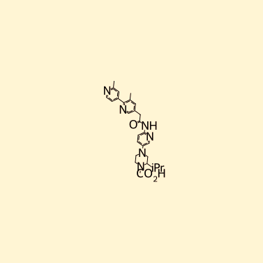 Cc1cc(-c2ncc(CC(=O)Nc3ccc(N4CCN(C(=O)O)C(C(C)C)C4)cn3)cc2C)ccn1